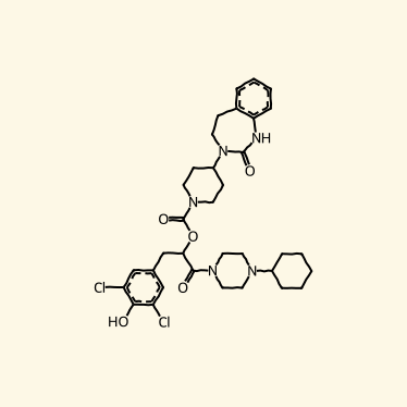 O=C(OC(Cc1cc(Cl)c(O)c(Cl)c1)C(=O)N1CCN(C2CCCCC2)CC1)N1CCC(N2CCc3ccccc3NC2=O)CC1